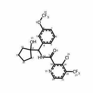 O=C(NC(c1cccc(OC(F)(F)F)c1)C1(O)CCCC1)c1nccc(C(F)(F)F)c1Cl